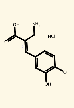 Cl.NC/C(=C\c1ccc(O)c(O)c1)C(=O)O